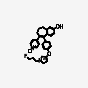 [O-][n+]1ccc(C2=C(c3ccc(O[C@H]4CCN(CCCF)C4)cc3)c3ccc(O)cc3CCC2)cc1